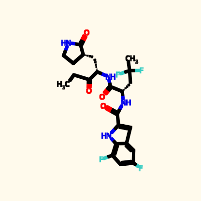 CCC(=O)[C@H](C[C@@H]1CCNC1=O)NC(=O)[C@H](CC(C)(F)F)NC(=O)c1cc2cc(F)cc(F)c2[nH]1